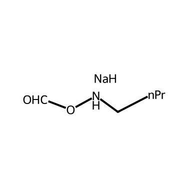 CCCCNOC=O.[NaH]